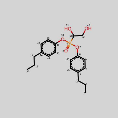 CCCc1ccc(OP(=O)(Oc2ccc(CCC)cc2)C(O)CO)cc1